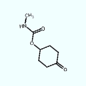 CNC(=O)OC1CCC(=O)CC1